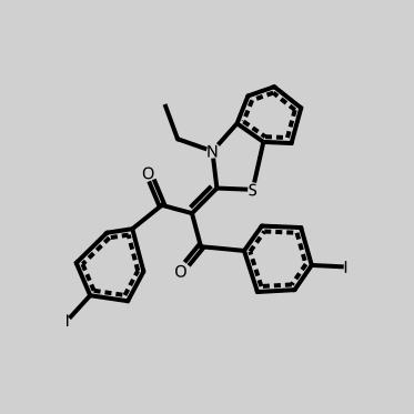 CCN1C(=C(C(=O)c2ccc(I)cc2)C(=O)c2ccc(I)cc2)Sc2ccccc21